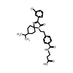 CC(C)C1CCC2(CC1)N=C(c1cccc(Cl)c1)C(=O)N2CCc1ccc(C(=O)NCCC(=O)O)cc1